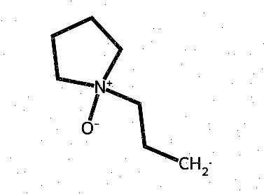 [CH2]CC[N+]1([O-])CCCC1